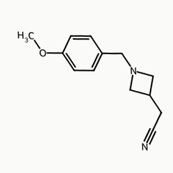 COc1ccc(CN2CC(CC#N)C2)cc1